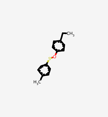 CCc1ccc(OSc2ccc(C)cc2)cc1